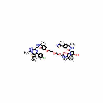 Cc1ncsc1-c1ccc([C@H](C)NC(=O)[C@@H]2C[C@@H](O)CN2C(=O)C(NC(=O)COCCOCCCOc2ccc([C@H](C)NC(=O)C[C@H]3N=C(c4ccc(Cl)cc4)c4c(sc(C)c4C)-n4c(C)nnc43)cc2)C(C)(C)C)cc1